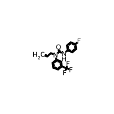 C=CCN(C(=O)Nc1ccc(F)cc1)c1cccc(C(F)(F)F)c1